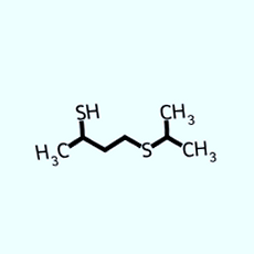 CC(S)CCSC(C)C